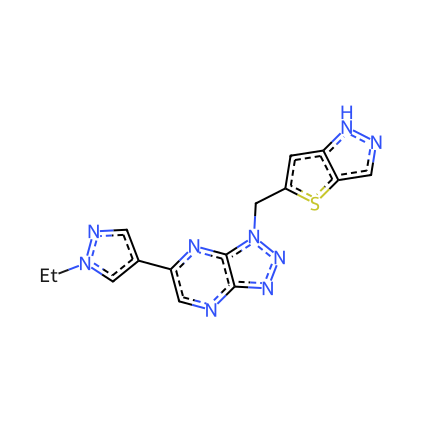 CCn1cc(-c2cnc3nnn(Cc4cc5[nH]ncc5s4)c3n2)cn1